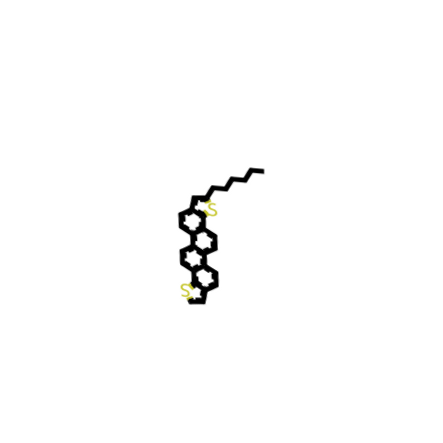 CCCCCCc1cc2ccc3c4ccc5c(ccc6ccsc65)c4ccc3c2s1